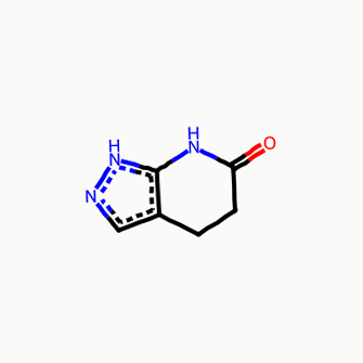 O=C1CCc2cn[nH]c2N1